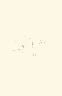 CCS(=O)(=O)CC(CC1CCCCC1)NCc1ccc(C(=O)NC(CCS(C)(=O)=O)C(=O)O)c(-c2ccccc2C)c1.[Li]